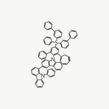 C1#CCC(c2cc(S(c3ccccc3)(c3cccc(-c4ccccc4)c3)c3cccc(-c4ccccc4)c3)cc(-c3ccccc3)c2-n2c3c(c4cc(-c5cccc6c7ccccc7n(-c7ccccc7)c56)ccc42)C=CCC3)=CC=C1